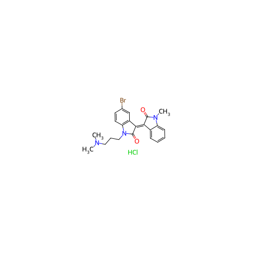 CN(C)CCCN1C(=O)/C(=C2/C(=O)N(C)c3ccccc32)c2cc(Br)ccc21.Cl